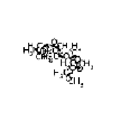 COC(C)COC(=O)C(C)(C)OC(C)COCC(C)OC(C)(C)C(=O)OCC(C)OC(C)N